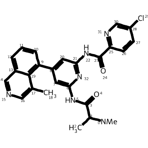 CNC(C)C(=O)Nc1cc(-c2cccc3cncc(C)c23)cc(NC(=O)c2ccc(Cl)cn2)n1